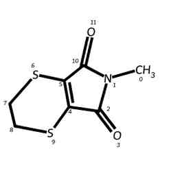 CN1C(=O)C2=C(SCCS2)C1=O